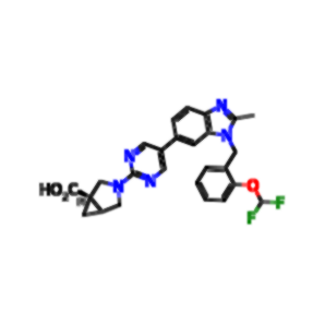 Cc1nc2ccc(-c3cnc(N4CC5C[C@]5(C(=O)O)C4)nc3)cc2n1Cc1ccccc1OC(F)F